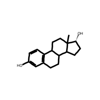 CC12CCC3c4ccc(O)cc4CCC3C1CC[C@H]2O